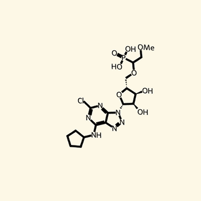 COCC(OC[C@H]1O[C@@H](n2nnc3c(NC4CCCC4)nc(Cl)nc32)[C@H](O)[C@@H]1O)P(=O)(O)O